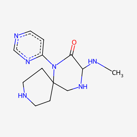 CNC1NCC2(CCNCC2)N(c2ccncn2)C1=O